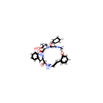 CC(O)[C@H]1C(=O)N[C@H](Cc2ccccc2)C(=O)NC/C=C/c2ccccc2OCCN[C@@H](C2CCCCC2)C(=O)N1C